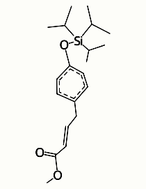 COC(=O)/C=C/Cc1ccc(O[Si](C(C)C)(C(C)C)C(C)C)cc1